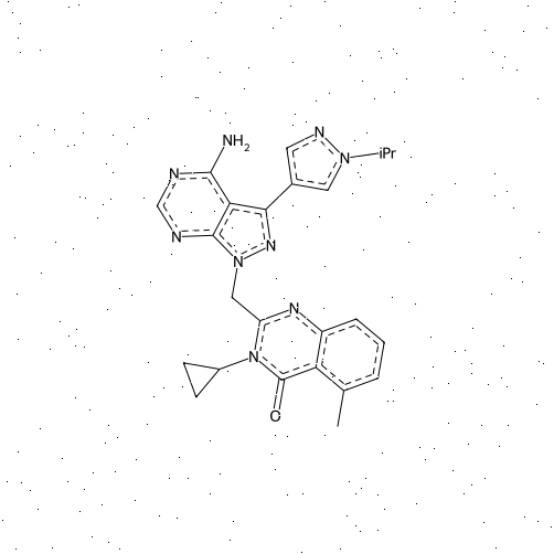 Cc1cccc2nc(Cn3nc(-c4cnn(C(C)C)c4)c4c(N)ncnc43)n(C3CC3)c(=O)c12